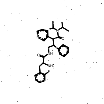 CC(C)N(C(=O)C(c1cccnc1)C(CNC(=O)C(N)Cc1ccccc1F)c1ccccc1)C(C)C